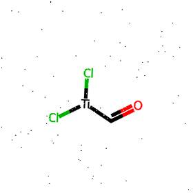 O=[CH][Ti]([Cl])[Cl]